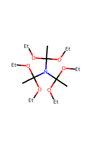 CCOC(C)(OCC)N(C(C)(OCC)OCC)C(C)(OCC)OCC